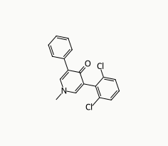 Cn1cc(-c2ccccc2)c(=O)c(-c2c(Cl)cccc2Cl)c1